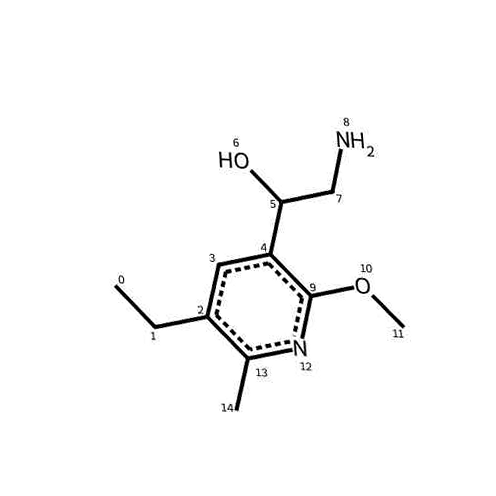 CCc1cc(C(O)CN)c(OC)nc1C